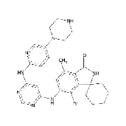 Cc1cc(Nc2cc(Nc3ccc(N4CCNCC4)cn3)ncn2)[n+]([O-])c2c1C(=O)NC21CCCCC1